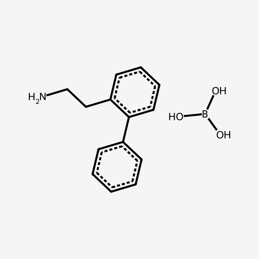 NCCc1ccccc1-c1ccccc1.OB(O)O